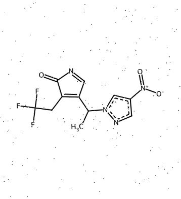 CC(C1=C(CC(F)(F)F)C(=O)N=C1)n1cc([N+](=O)[O-])cn1